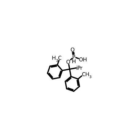 Cc1ccccc1C(O[PH](=O)O)(c1ccccc1C)C(C)C